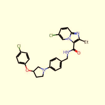 CCc1nc2ccc(Cl)cn2c1C(=O)NCc1ccc(N2CCC(Oc3ccc(Cl)cc3)C2)cc1